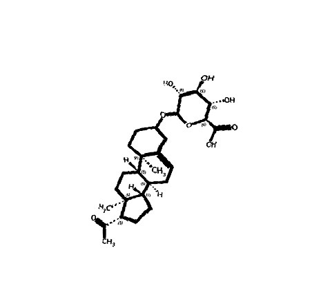 CC(=O)[C@H]1CC[C@H]2[C@@H]3CC=C4CC(OC5O[C@H](C(=O)O)[C@@H](O)[C@H](O)[C@H]5O)CC[C@]4(C)[C@H]3CC[C@]12C